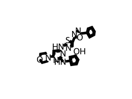 Oc1cccc(Nc2nc(Nc3ncc(-c4nnc(-c5ccccc5)o4)s3)cc(N3CCOCC3)n2)c1